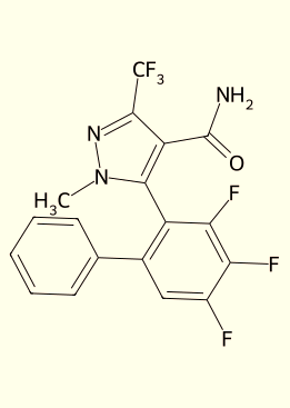 Cn1nc(C(F)(F)F)c(C(N)=O)c1-c1c(-c2ccccc2)cc(F)c(F)c1F